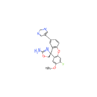 CCCOc1cc2c(cc1F)Oc1ccc(-c3cncnc3)cc1[C@]21COC(N)=N1